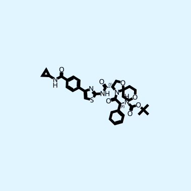 CC(C)(C)OC(=O)N[C@@H](C(=O)N1[C@H](C(=O)Nc2nc(-c3ccc(C(=O)NC4CC4)cc3)cs2)COC12CCOCC2)C1=CC=CCC1